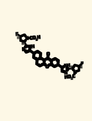 O=C(O)N1C[C@H](F)C[C@H]1c1ncc(-c2ccc3c(=O)c4c(ccc5cc(-c6cnc([C@@H]7C[C@H](F)CN7C(=O)O)[nH]6)ccc54)oc3c2)[nH]1